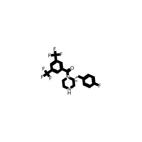 O=C(c1cc(C(F)(F)F)cc(C(F)(F)F)c1)N1CCNC[C@H]1Cc1ccc(F)cc1